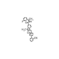 Cc1c(C)n(Cc2ccc(-c3ccccc3C#N)cc2)c2ccc(C(=O)N[C@@H](C)c3cccc(F)c3)cc12